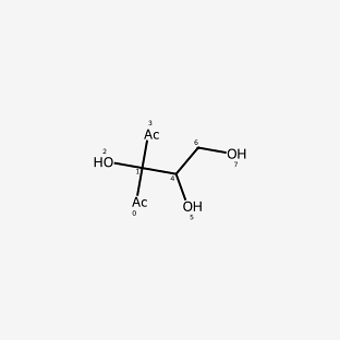 CC(=O)C(O)(C(C)=O)C(O)CO